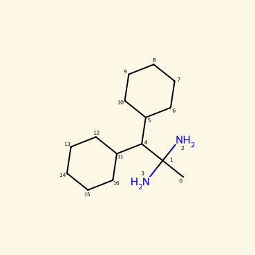 CC(N)(N)C(C1CCCCC1)C1CCCCC1